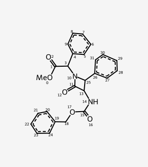 COC(=O)C(c1ccccc1)N1C(=O)C(NC(=O)OCc2ccccc2)C1c1ccccc1